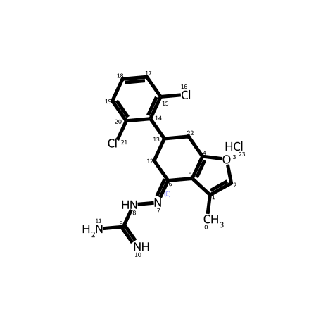 Cc1coc2c1/C(=N/NC(=N)N)CC(c1c(Cl)cccc1Cl)C2.Cl